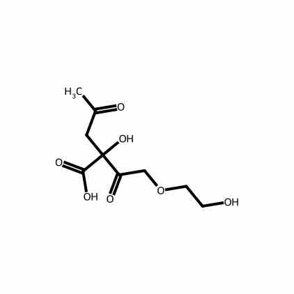 CC(=O)CC(O)(C(=O)O)C(=O)COCCO